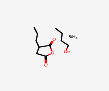 CCCC1CC(=O)OC1=O.CCCCO.[SiH4]